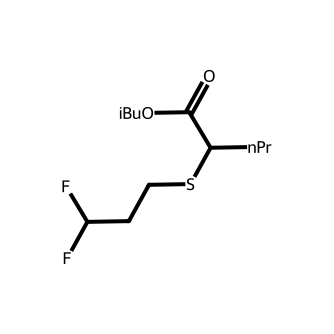 CCCC(SCCC(F)F)C(=O)OCC(C)C